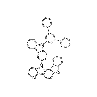 c1ccc(-c2cc(-c3ccccc3)cc(-n3c4ccccc4c4cc(-n5c6cccnc6c6ccc7sc8ccccc8c7c65)ccc43)c2)cc1